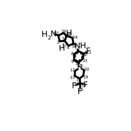 NC1C[C@@H]2CC(Nc3ccc(N4CCC(C(F)(F)F)CC4)cc3F)C[C@@H]2C1